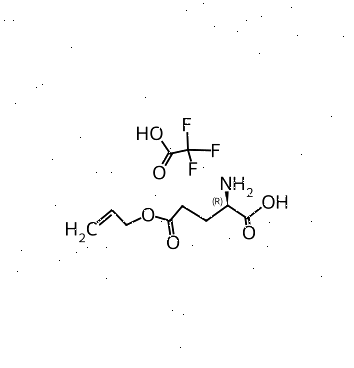 C=CCOC(=O)CC[C@@H](N)C(=O)O.O=C(O)C(F)(F)F